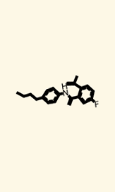 C=C(C)c1ccc(F)cc1C(=C)Nc1ccc(CCCC)cc1